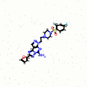 Nc1nc2c(cnn2CCN2CCN(S(=O)(=O)c3ccc(F)cc3F)CC2)c2nc(-c3ccco3)nn12